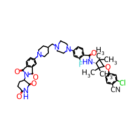 CC1(C)[C@H](NC(=O)c2ccc(N3CCN(CC4CCN(c5ccc6c(c5)C(=O)N(C5CCC(=O)NC5=O)C6=O)CC4)CC3)cc2F)C(C)(C)[C@H]1Oc1ccc(C#N)c(Cl)c1